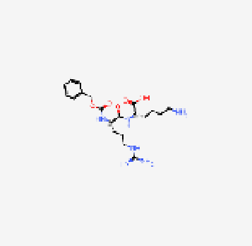 N=C(N)NCCC[C@H](NC(=O)OCc1ccccc1)C(=O)N[C@@H](CCCCN)C(=O)O